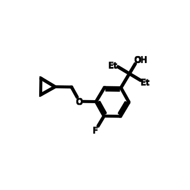 CCC(O)(CC)c1ccc(F)c(OCC2CC2)c1